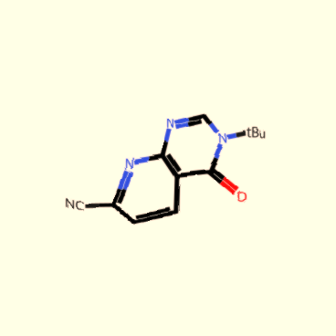 CC(C)(C)n1cnc2nc(C#N)ccc2c1=O